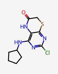 O=C1CSc2nc(Cl)nc(NC3CCCC3)c2N1